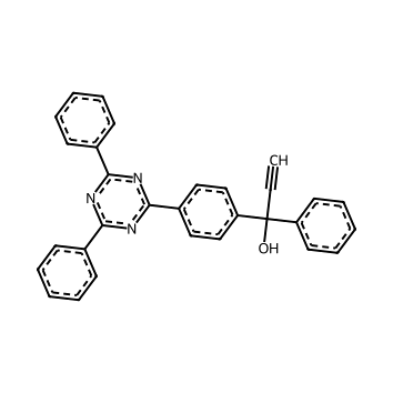 C#CC(O)(c1ccccc1)c1ccc(-c2nc(-c3ccccc3)nc(-c3ccccc3)n2)cc1